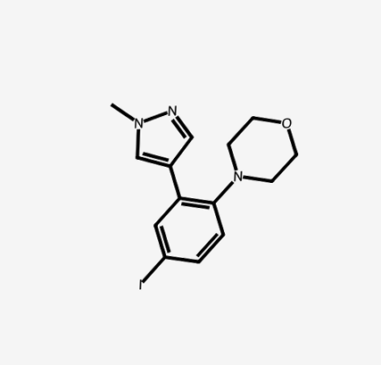 Cn1cc(-c2cc(I)ccc2N2CCOCC2)cn1